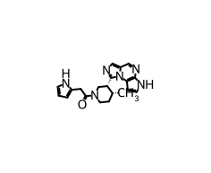 C[C@@H]1CCN(C(=O)Cc2ccc[nH]2)C[C@@H]1c1ncc2cnc3[nH]ccc3n12